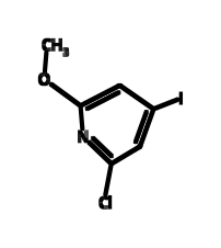 COc1cc(I)cc(Cl)n1